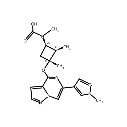 C[C@@H]1[C@H](N(C)C(=O)O)C[C@@]1(C)Oc1nc(-c2cnn(C)c2)cn2nccc12